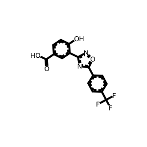 O=C(O)c1ccc(O)c(-c2noc(-c3ccc(C(F)(F)F)cc3)n2)c1